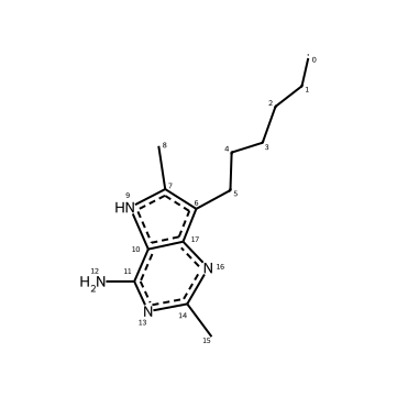 [CH2]CCCCCc1c(C)[nH]c2c(N)nc(C)nc12